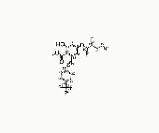 COC(=O)c1c(O)cc(OC(F)C(F)CCF)cc1C=Cc1ccc(C(F)(F)F)cc1